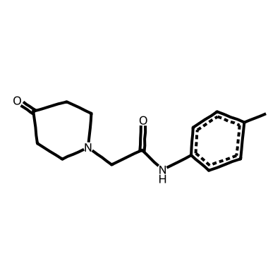 Cc1ccc(NC(=O)CN2CCC(=O)CC2)cc1